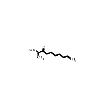 C=CCCCCCC(=O)C(C)[C]=O